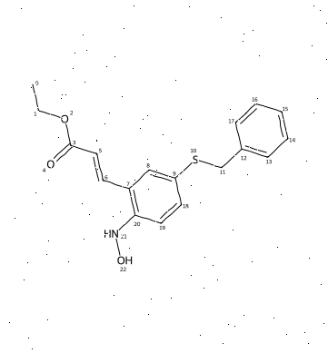 CCOC(=O)/C=C/c1cc(SCc2ccccc2)ccc1NO